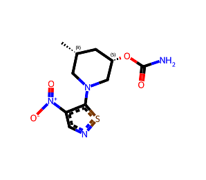 C[C@@H]1C[C@H](OC(N)=O)CN(c2sncc2[N+](=O)[O-])C1